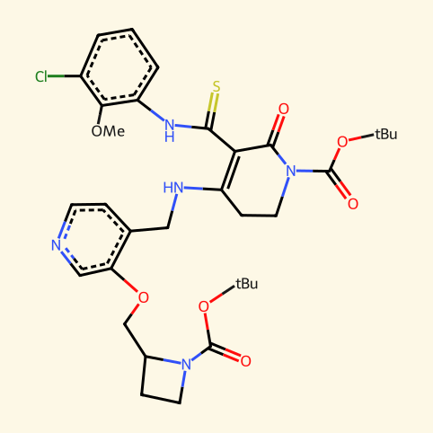 COc1c(Cl)cccc1NC(=S)C1=C(NCc2ccncc2OCC2CCN2C(=O)OC(C)(C)C)CCN(C(=O)OC(C)(C)C)C1=O